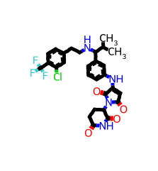 CC(C)C(NCCc1ccc(C(F)(F)F)c(Cl)c1)c1cccc(NC2=CC(=O)N(C3CCC(=O)NC3=O)C2=O)c1